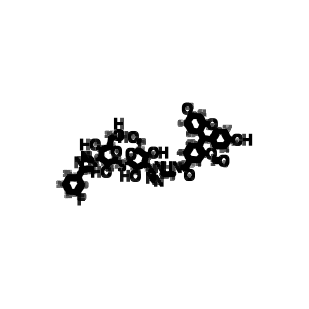 O=COc1cc(C(=O)NCc2nnn(C3C(O)[C@@H](CO)O[C@@H](S[C@@H]4OC(CO)[C@H](O)[C@H](n5cc(-c6cccc(F)c6)nn5)C4O)[C@@H]3O)n2)ccc1C1c2ccc(O)cc2OC2=CC(=O)C=CC21